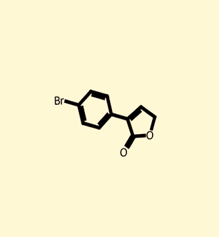 O=C1OCC=C1c1ccc(Br)cc1